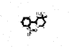 CC1(F)CCOC(c2ccccc2[N+](=O)[O-])C1